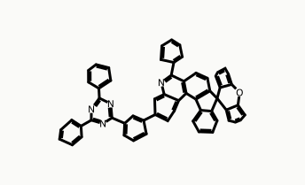 c1ccc(-c2nc(-c3ccccc3)nc(-c3cccc(-c4ccc5c(c4)nc(-c4ccccc4)c4ccc6c(c45)-c4ccccc4C64c5ccccc5Oc5ccccc54)c3)n2)cc1